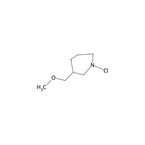 COCC1CCCN(Cl)C1